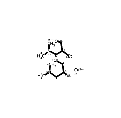 CCC(C[O-])CN(C)C.CCC(C[O-])CN(C)C.[Cu+2]